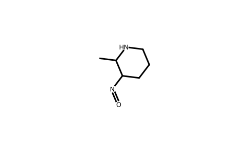 CC1NCCCC1N=O